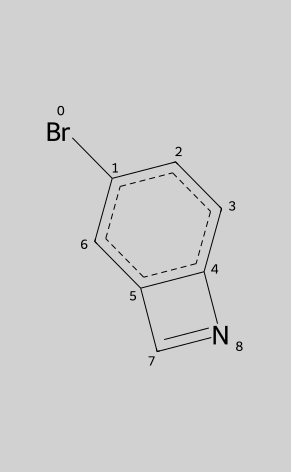 Brc1ccc2c(c1)C=N2